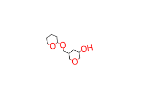 OC1COCC(COC2CCCCO2)C1